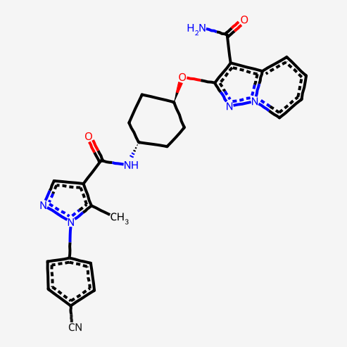 Cc1c(C(=O)N[C@H]2CC[C@H](Oc3nn4ccccc4c3C(N)=O)CC2)cnn1-c1ccc(C#N)cc1